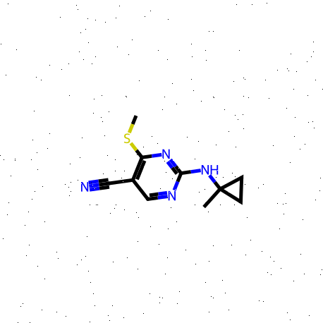 CSc1nc(NC2(C)CC2)ncc1C#N